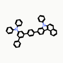 c1ccc(-c2cc(-c3ccc(-c4ccc5c6c7ccccc7ccc6n(-c6ccccc6)c5c4)cc3)cc(N(c3ccccc3)c3ccccc3)c2)cc1